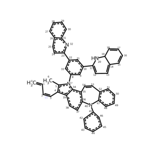 C=C/C=C\c1c(C)n(-c2cc(C3=CC=C4C=CC=CC4N3)cc(-c3ccc4ccccc4n3)c2)c2c3c(ccc12)N(c1ccccc1)c1ccccc1C=C3